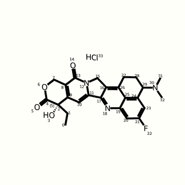 CC[C@@]1(O)C(=O)OCc2c1cc1n(c2=O)Cc2c-1nc1cc(F)cc3c1c2CCC3N(C)C.Cl